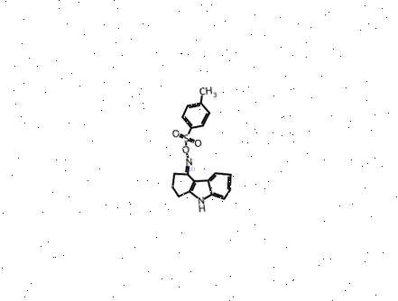 Cc1ccc(S(=O)(=O)O/N=C2\CCCc3[nH]c4ccccc4c32)cc1